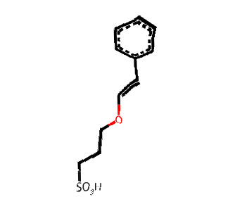 O=S(=O)(O)CCCOC=Cc1ccccc1